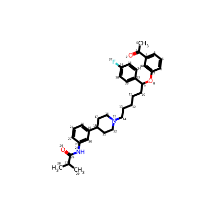 CC(=O)c1cccc(OC(CCCCCN2CCC(c3cccc(NC(=O)C(C)C)c3)CC2)c2ccc(F)cc2)c1